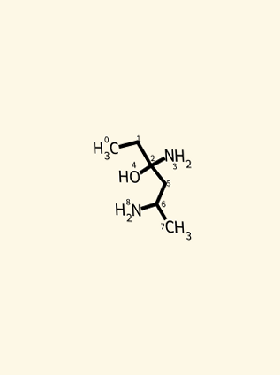 CCC(N)(O)CC(C)N